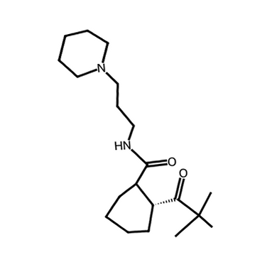 CC(C)(C)C(=O)[C@@H]1CCCCC1C(=O)NCCCN1CCCCC1